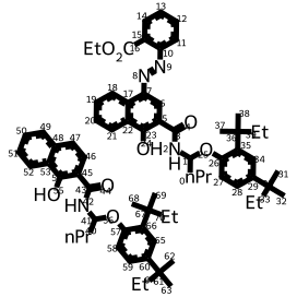 CCCC(NC(=O)c1cc(N=Nc2ccccc2C(=O)OCC)c2ccccc2c1O)Oc1ccc(C(C)(C)CC)cc1C(C)(C)CC.CCCC(NC(=O)c1ccc2ccccc2c1O)Oc1ccc(C(C)(C)CC)cc1C(C)(C)CC